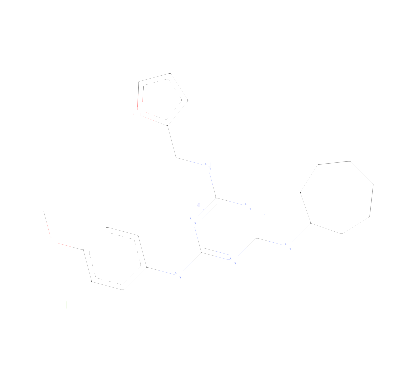 COc1ccc(NC(=N/CNC2CCCCCC2)/N=C(\N)NCc2ccco2)cc1F